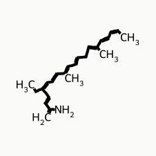 C=C(N)/C=C/C(=C\C=C\C(C)=C\C=C\C/C=C(C)/C=C/C=C\C)CC